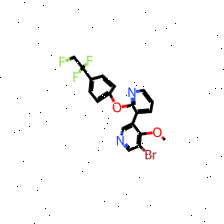 COc1c(Br)cncc1-c1cccnc1Oc1ccc(C(F)(F)CF)cc1